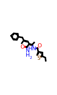 CCc1cc(C(=O)N/C(C)=C(/C=C(\C)Cc2ccccc2)C(N)=O)cs1